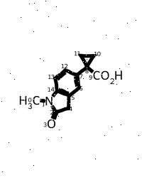 CN1C(=O)Cc2cc(C3(C(=O)O)CC3)ccc21